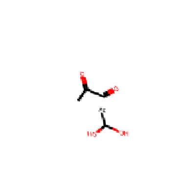 CC(=O)C(O)O.CC(=O)C=O